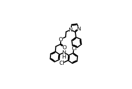 O=C(Cc1ccccc1Nc1c(Cl)cccc1Cl)OCCn1ccnc1-c1ccccc1